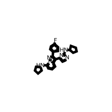 Fc1ccc(-c2nn3c(NC4CCCC4)cccc3c2-c2ccnc(NC3CCCC3)n2)cc1